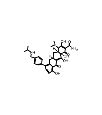 CC(C)NCc1ccc(-c2ccc(O)c3c2C[C@@H]2C[C@@H]4C(N(C)C)C(O)=C(C(N)=O)C(=O)[C@]4(O)C(O)=C2C3=O)cc1